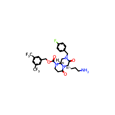 NCCC[C@H]1C(=O)N(Cc2ccc(F)cc2)C[C@@H]2N(C(=O)OCc3cc(C(F)(F)F)cc(C(F)(F)F)c3)CCC(=O)N21